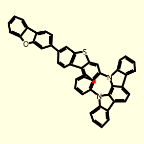 c1ccc(-n2c3ccccc3c3ccc4c5ccccc5n(-c5ccc6c(c5)sc5cc(-c7ccc8c(c7)oc7ccccc78)ccc56)c4c32)cc1